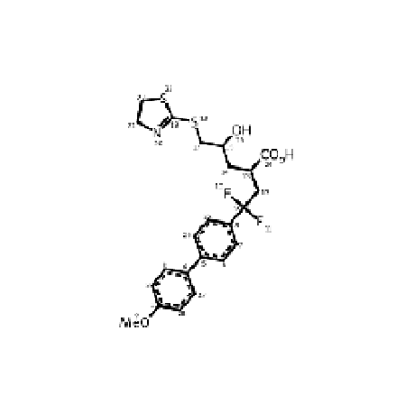 COc1ccc(-c2ccc(C(F)(F)CC(CC(O)CSC3=NCCS3)C(=O)O)cc2)cc1